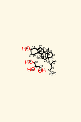 CC(C)CCCC(C)[C@H]1CC[C@H]2[C@@H]3CC=C4C[C@@H](O)CC[C@]4(C)[C@H]3CC[C@]12C.OCC(O)CO